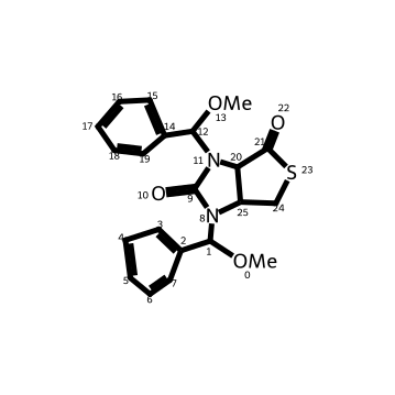 COC(c1ccccc1)N1C(=O)N(C(OC)c2ccccc2)C2C(=O)SCC21